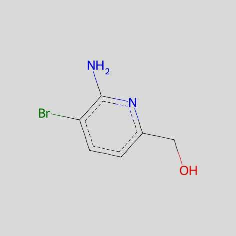 Nc1nc(CO)ccc1Br